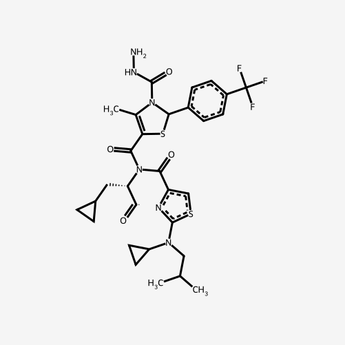 CC1=C(C(=O)N(C(=O)c2csc(N(CC(C)C)C3CC3)n2)[C@H]([C]=O)CC2CC2)SC(c2ccc(C(F)(F)F)cc2)N1C(=O)NN